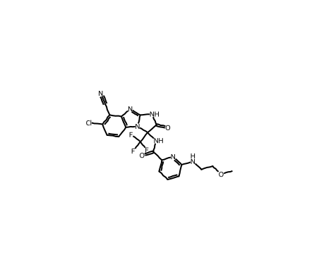 COCCNc1cccc(C(=O)NC2(C(F)(F)F)C(=O)Nc3nc4c(C#N)c(Cl)ccc4n32)n1